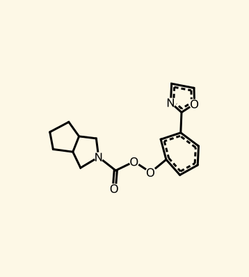 O=C(OOc1cccc(-c2ncco2)c1)N1CC2CCCC2C1